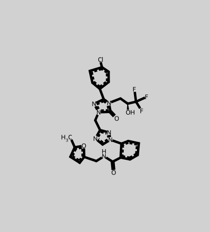 Cc1ccc(CNC(=O)c2ccccc2-n2cnc(Cn3nc(-c4ccc(Cl)cc4)n(C[C@H](O)C(F)(F)F)c3=O)n2)o1